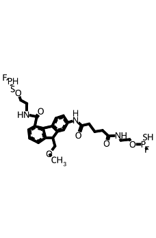 COCC1c2cc(NC(=O)CCCC(=O)NCCOP(F)S)ccc2-c2c(C(=O)NCCOSPF)cccc21